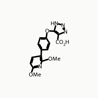 COc1ccc(-c2ccc(Oc3[nH]nnc3C(=O)O)cc2)c(OC)n1